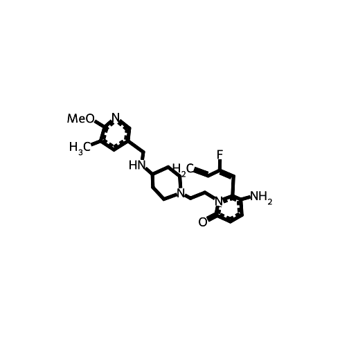 C=C/C(F)=C\c1c(N)ccc(=O)n1CCN1CCC(NCc2cnc(OC)c(C)c2)CC1